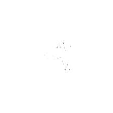 [Co].[Mo].[O]=[Fe].[W]